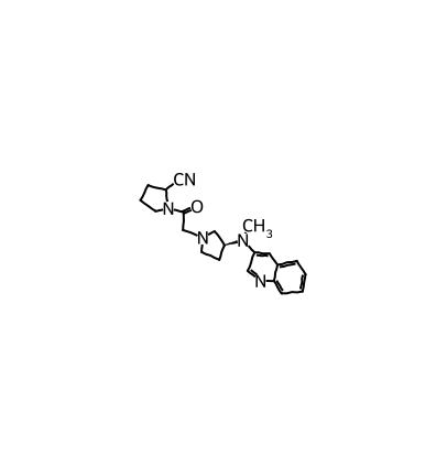 CN(c1cnc2ccccc2c1)[C@H]1CCN(CC(=O)N2CCCC2C#N)C1